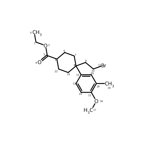 CCOC(=O)C1CCC(CCBr)(c2ccc(OC)c(C)c2)CC1